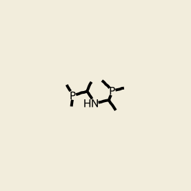 CC(NC(C)P(C)C)P(C)C